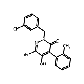 CCCc1nn(Cc2cccc(Cl)c2)c(=O)c(-c2ccccc2C)c1O